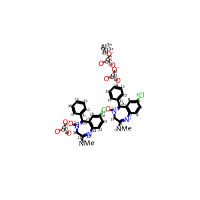 CNC1=Nc2ccc(Cl)cc2C(c2ccccc2)=[N+]([O-])C1.CNC1=Nc2ccc(Cl)cc2C(c2ccccc2)=[N+]([O-])C1.O=[Si]([O-])[O-].O=[Si]([O-])[O-].O=[Si]([O-])[O-].[Al+3].[Al+3]